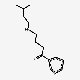 CC(C)CCNCCCC(=O)c1cccnc1